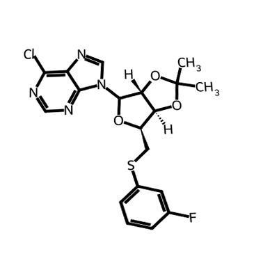 CC1(C)O[C@H]2[C@@H](CSc3cccc(F)c3)OC(n3cnc4c(Cl)ncnc43)[C@@H]2O1